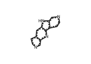 c1cc2cc3[nH]c4cnccc4c3nc2cn1